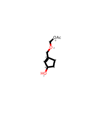 CC(=O)OCOCC1=CC(O)CC1